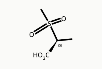 C[C@@H](C(=O)O)S(C)(=O)=O